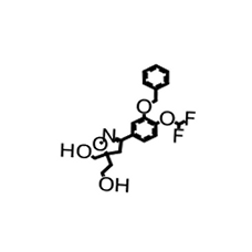 OCCC1(CO)CC(c2ccc(OC(F)F)c(OCc3ccccc3)c2)=NO1